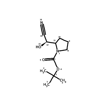 CC(C)(C)OC(=O)N1CCCC1[C@@H](O)C#N